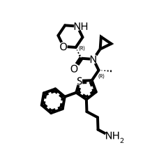 C[C@H](c1cc(CCCN)c(-c2ccccc2)s1)N(C(=O)[C@H]1CNCCO1)C1CC1